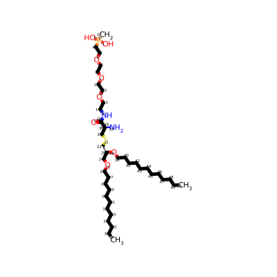 C=P(O)(O)CCOCCOCCOCCNC(=O)[C@@H](N)CSC[C@@H](COCCCCCCCCCCCC)OCCCCCCCCCCCC